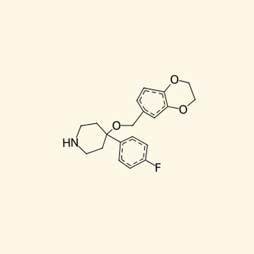 Fc1ccc(C2(OCc3ccc4c(c3)OCCO4)CCNCC2)cc1